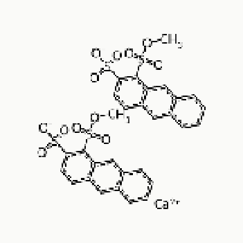 COS(=O)(=O)c1c(S(=O)(=O)[O-])ccc2cc3ccccc3cc12.COS(=O)(=O)c1c(S(=O)(=O)[O-])ccc2cc3ccccc3cc12.[Ca+2]